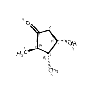 C[C@H]1[C@@H](O)CC(=O)[C@@H]1C